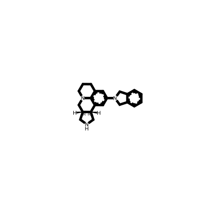 c1ccc2c(c1)CN(c1cc3c4c(c1)[C@@H]1CNC[C@@H]1CN4CCC3)C2